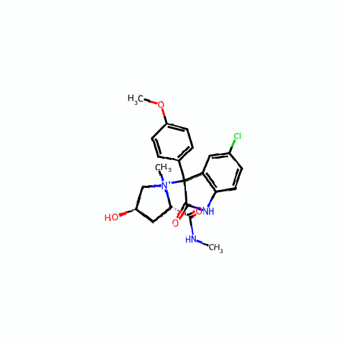 CNC(=O)[C@@H]1C[C@@H](O)C[N+]1(C)C1(c2ccc(OC)cc2)C(=O)Nc2ccc(Cl)cc21